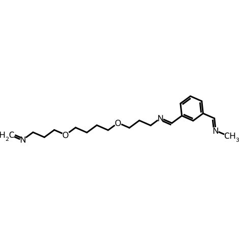 C=NCCCOCCCCOCCCN=Cc1cccc(/C=N/C)c1